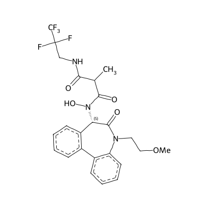 COCCN1C(=O)[C@@H](N(O)C(=O)C(C)C(=O)NCC(F)(F)C(F)(F)F)c2ccccc2-c2ccccc21